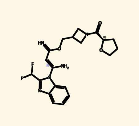 N=C(/C=C(\N)n1c(C(F)F)nc2ccccc21)OCC1CN(C(=O)[C@H]2CCCO2)C1